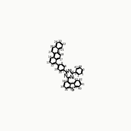 c1ccc(-c2nc(-c3ccc(-c4cccc5c4ccc4c6ccccc6ccc54)cc3)nc(-c3cccc4sc5ccccc5c34)n2)cc1